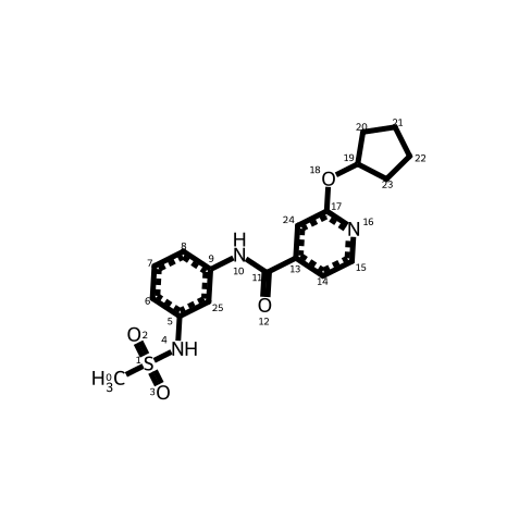 CS(=O)(=O)Nc1cccc(NC(=O)c2ccnc(OC3CCCC3)c2)c1